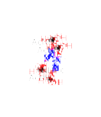 CC(=O)N[C@H]1[C@H](OCCOCCn2cc(CN(CCCCC(C)N(Cc3cn(CCOCCO[C@@H]4O[C@H](CO)[C@H](O)[C@H](O)[C@H]4NC(C)=O)nn3)Cc3cn(CCOCCO[C@@H]4O[C@H](CO)[C@H](O)[C@H](O)[C@H]4NC(C)=O)nn3)Cc3cn(CCOCCO[C@@H]4O[C@H](CO)[C@H](O)[C@H](O)[C@H]4NC(C)=O)nn3)nn2)O[C@H](CO)[C@H](O)[C@@H]1O